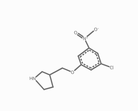 O=[N+]([O-])c1cc(Cl)cc(OCC2CCNC2)c1